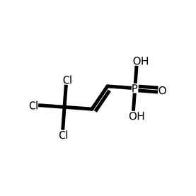 O=P(O)(O)C=CC(Cl)(Cl)Cl